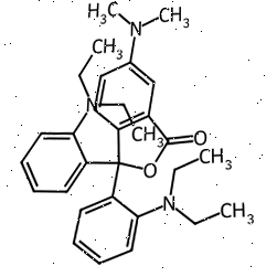 CCN(CC)c1ccccc1C1(c2ccccc2N(CC)CC)OC(=O)c2cc(N(C)C)ccc21